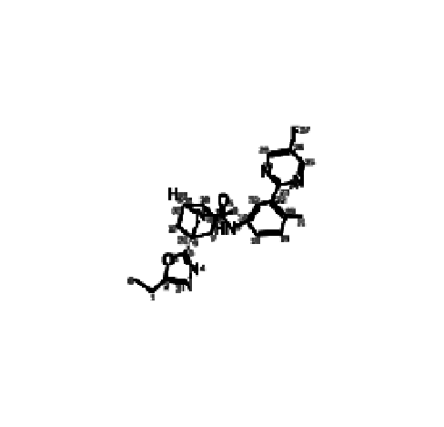 CCc1nnc([C@]23C[C@H](C)C[C@H](C2)N3C(=O)Nc2ccc(C)c(-c3ncc(F)cn3)c2)o1